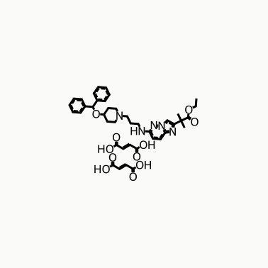 CCOC(=O)C(C)(C)c1cn2nc(NCCCN3CCC(OC(c4ccccc4)c4ccccc4)CC3)ccc2n1.O=C(O)C=CC(=O)O.O=C(O)C=CC(=O)O